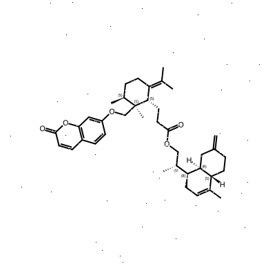 C=C1CC[C@@H]2C(C)=CC[C@@H]([C@H](C)COC(=O)CC[C@H]3C(=C(C)C)CC[C@H](C)[C@]3(C)COc3ccc4ccc(=O)oc4c3)[C@H]2C1